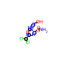 NC(=O)OCC1CCN(Cc2cc(Oc3cnc(N4CCN(CCO)CC4)nc3)nc(-c3cc(Cl)cc(Cl)c3)c2)CC1